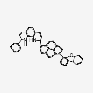 C1=CC2Oc3c(-c4ccc5ccc6c(C7C=Cc8ccc9c(c8N7)NC(c7ccccc7)C=C9)ccc7ccc4c5c76)cccc3C2C=C1